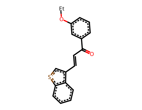 CCOc1cccc(C(=O)C=Cc2csc3ccccc23)c1